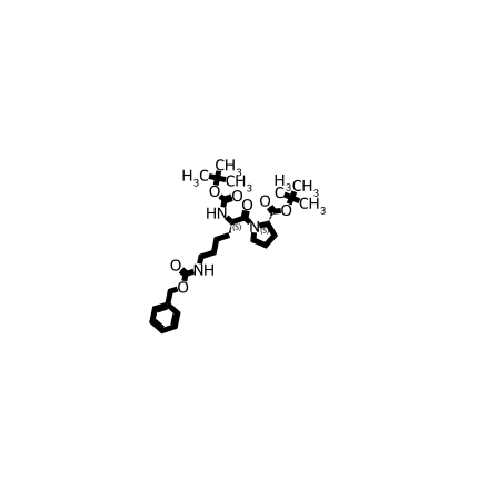 CC(C)(C)OC(=O)N[C@@H](CCCCNC(=O)OCc1ccccc1)C(=O)N1CCC[C@H]1C(=O)OC(C)(C)C